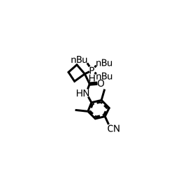 CCCC[PH](CCCC)(CCCC)C1(C(=O)Nc2c(C)cc(C#N)cc2C)CCC1